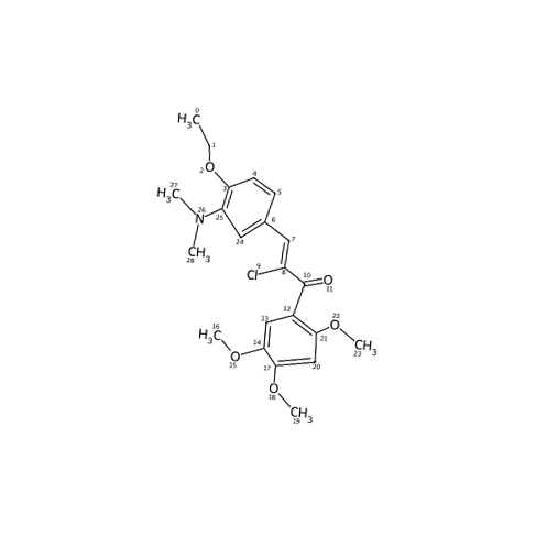 CCOc1ccc(C=C(Cl)C(=O)c2cc(OC)c(OC)cc2OC)cc1N(C)C